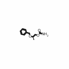 C[C@H](COC(N)=O)OCc1ccccc1